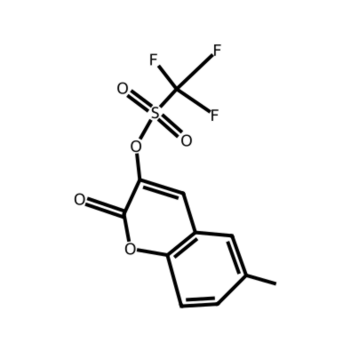 Cc1ccc2oc(=O)c(OS(=O)(=O)C(F)(F)F)cc2c1